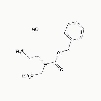 CCOC(=O)CN(CCN)C(=O)OCc1ccccc1.Cl